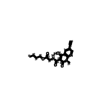 C#Cc1cnc2c(c1)c(O)c(C(=O)NCC(=O)OCCCC)c(=O)n2C